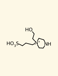 O=S(=O)(O)CCC[N+]1(CCO)CCNCC1